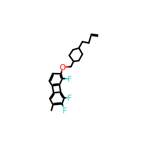 C=CCCC1CCC(COc2ccc3c(c2F)-c2c-3cc(C)c(F)c2F)CC1